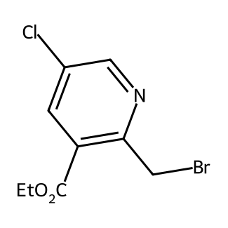 CCOC(=O)c1cc(Cl)cnc1CBr